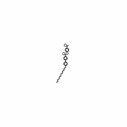 CCCCCCCCCCCCc1ccc(-c2ccc(C(=O)Oc3ccc(C(C)OC)cc3)cc2)cc1